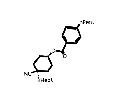 CCCCCCC[C@]1(C#N)CC[C@@H](OC(=O)c2ccc(CCCCC)cc2)CC1